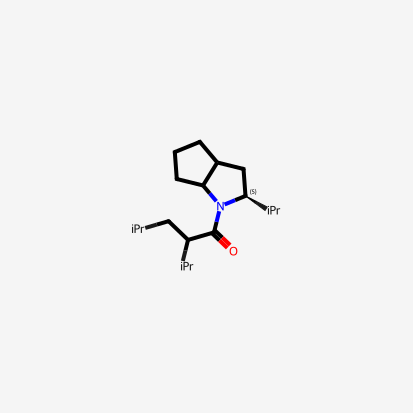 CC(C)CC(C(=O)N1C2CCCC2C[C@H]1C(C)C)C(C)C